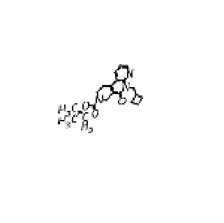 CC(C)(C)OC(=O)N1CCc2c(c(=O)n(CC3CCC3)c3ncccc23)C1